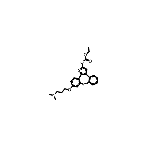 CCOC(=O)Oc1cc2c(s1)-c1ccc(OCCCN(C)C)cc1Oc1ccccc1-2